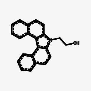 OCCn1c2ccc3ccccc3c2c2c3ccccc3ccc21